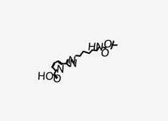 CC(C)(C)OC(=O)NCCCCCCn1cc(-c2cccc(C(=O)O)n2)cn1